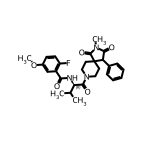 COc1ccc(F)c(C(=O)N[C@@H](C(=O)N2CCC3(CC2)C(=O)N(C)C(=O)C3c2ccccc2)C(C)C)c1